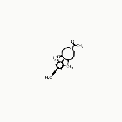 CC#Cc1cc(C)c(C2C(=O)CCCN(C(C)=O)CCCC2=O)c(C)c1